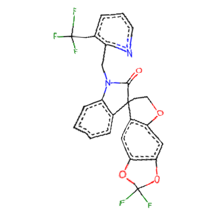 O=C1N(Cc2ncccc2C(F)(F)F)c2ccccc2C12COc1cc3c(cc12)OC(F)(F)O3